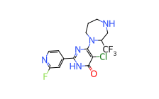 O=c1[nH]c(-c2ccnc(F)c2)nc(N2CCCNCC2C(F)(F)F)c1Cl